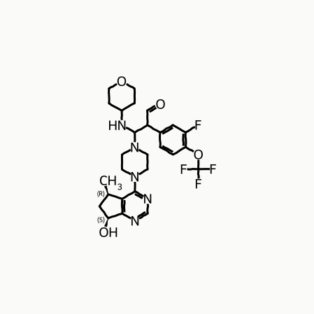 C[C@@H]1C[C@H](O)c2ncnc(N3CCN(C(NC4CCOCC4)C(C=O)c4ccc(OC(F)(F)F)c(F)c4)CC3)c21